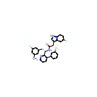 Cc1cc(F)cc(C[C@H](NC(=O)Cc2c[nH]c3ccc(F)cc23)c2ncccc2-c2cccc(Cl)c2)c1